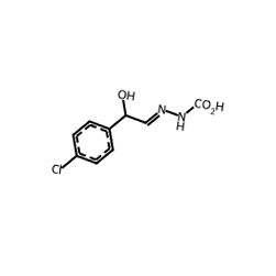 O=C(O)NN=CC(O)c1ccc(Cl)cc1